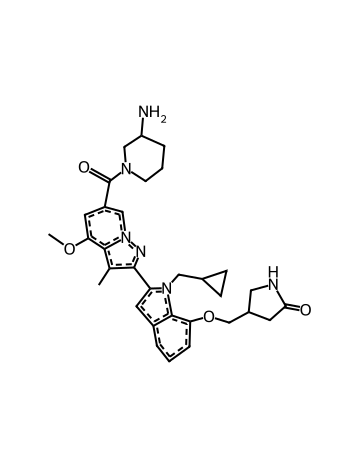 COc1cc(C(=O)N2CCCC(N)C2)cn2nc(-c3cc4cccc(OCC5CNC(=O)C5)c4n3CC3CC3)c(C)c12